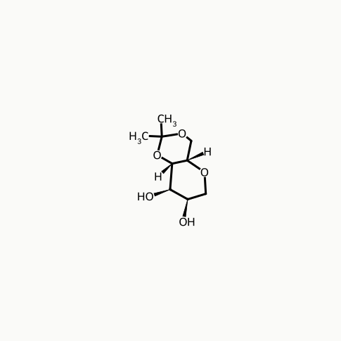 CC1(C)OC[C@@H]2OC[C@@H](O)[C@@H](O)[C@@H]2O1